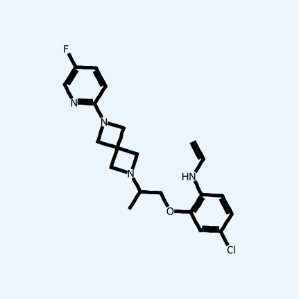 C=CNc1ccc(Cl)cc1OCC(C)N1CC2(CN(c3ccc(F)cn3)C2)C1